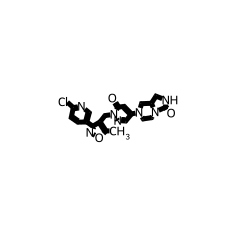 Cc1onc(-c2ccc(Cl)nc2)c1Cn1ncc(N2CCN3C(=O)NCC3C2)cc1=O